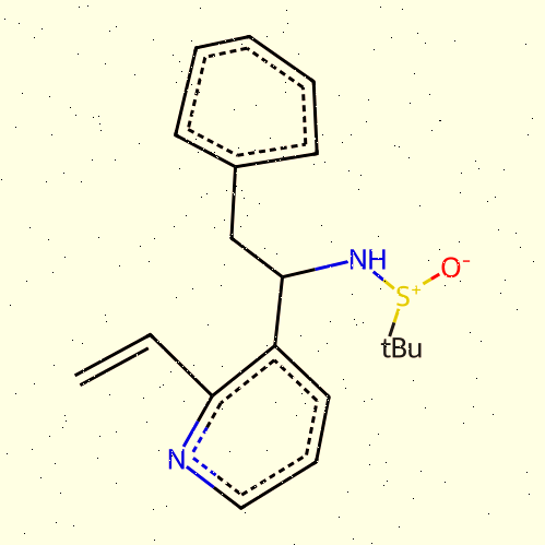 C=Cc1ncccc1C(Cc1ccccc1)N[S+]([O-])C(C)(C)C